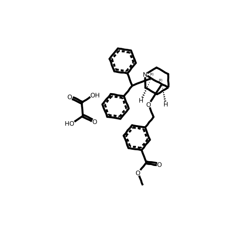 COC(=O)c1cccc(CO[C@@H]2C3CCN(CC3)[C@@H]2C(c2ccccc2)c2ccccc2)c1.O=C(O)C(=O)O